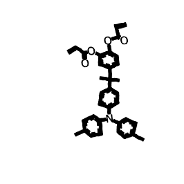 C=CC(=O)Oc1ccc(C(C)(C)c2ccc(N(c3ccc(C)cc3)c3ccc(C)cc3)cc2)cc1OC(=O)C=C